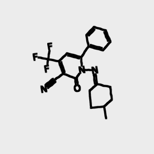 CC1CCC(=Nn2c(-c3ccccc3)cc(C(F)(F)F)c(C#N)c2=O)CC1